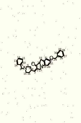 O=C1C(=CC2CCN(Cc3ccccc3)CC2)CN2c3ccc(OCc4ccccc4)cc3CC12